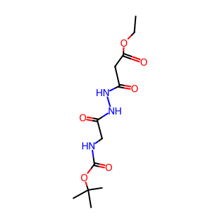 CCOC(=O)CC(=O)NNC(=O)CNC(=O)OC(C)(C)C